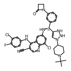 CC(C)(C)N1CCC(N2C=C([C@@H](Nc3cc(Cl)c4ncc(C#N)c(Nc5ccc(F)c(Cl)c5)c4c3)c3cccc(N4CCC4=O)c3)NN2)CC1